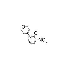 O=c1c([N+](=O)[O-])cccn1C1=CCOCC1